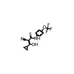 N#CC(C(=S)Nc1ccc(OC(F)(F)F)cc1)=C(O)C1CC1